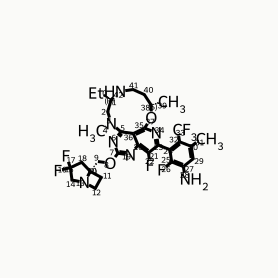 CC[C@@H]1CN(C)c2nc(OC[C@]34CCN3CC(F)(F)C4)nc3c(F)c(-c4c(F)c(N)cc(C)c4C(F)(F)F)nc(c23)O[C@@H](C)CCN1